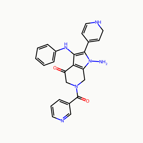 Nn1c2c(c(Nc3ccccc3)c1C1=CCNC=C1)C(=O)CN(C(=O)c1cccnc1)C2